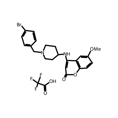 COc1ccc2oc(=O)cc(NC3CCN(Cc4ccc(Br)cc4)CC3)c2c1.O=C(O)C(F)(F)F